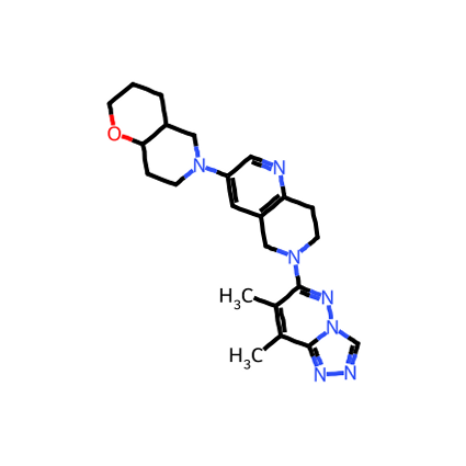 Cc1c(N2CCc3ncc(N4CCC5OCCCC5C4)cc3C2)nn2cnnc2c1C